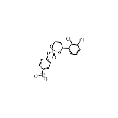 O=[N+]([O-])c1ccc(O[P@]2(=O)OCC[C@@H](c3cccc(Cl)c3Cl)O2)cc1